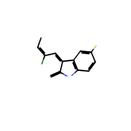 C=c1[nH]c2ccc(F)cc2/c1=C/C(Cl)=C\C